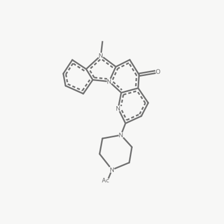 CC(=O)N1CCN(c2ccc3c(=O)cc4n(C)c5ccccc5n4c3n2)CC1